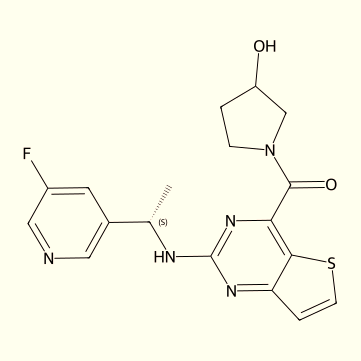 C[C@H](Nc1nc(C(=O)N2CCC(O)C2)c2sccc2n1)c1cncc(F)c1